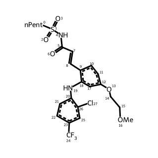 CCCCCS(=O)(=O)NC(=O)C=Cc1ccc(OCCOC)cc1Nc1ccc(C(F)(F)F)cc1Cl